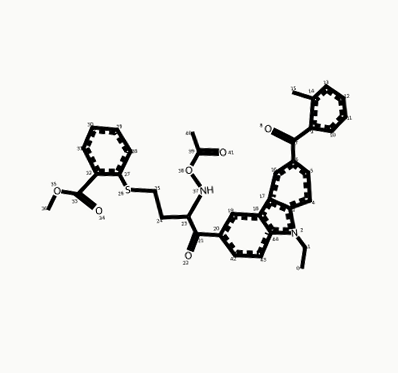 CCn1c2ccc(C(=O)c3ccccc3C)cc2c2cc(C(=O)C(CCSc3ccccc3C(=O)OC)NOC(C)=O)ccc21